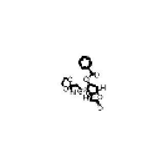 CCCCCC1(CC[C@H]2C(OC(=O)c3ccccc3)C[C@@H]3OC(=O)C[C@@H]32)OCCO1